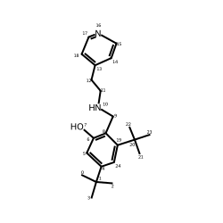 CC(C)(C)c1cc(O)c(CNCCc2ccncc2)c(C(C)(C)C)c1